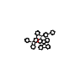 c1ccc(-c2ccc(N(c3ccccc3-c3ccc4c5ccccc5n(-c5ccccc5)c4c3)c3cccc4c3-c3ccccc3C43c4ccccc4-c4ccccc43)cc2)cc1